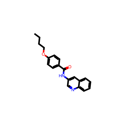 CCCCOc1ccc(C(=O)Nc2cnc3ccccc3c2)cc1